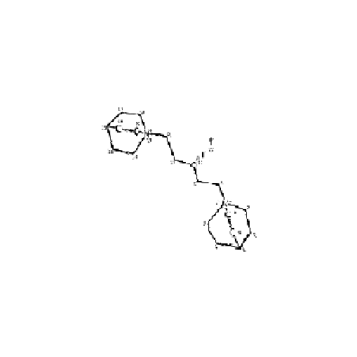 C(C[N+]12CCC(CC1)CC2)OCC[N+]12CCC(CC1)CC2.[I-].[I-]